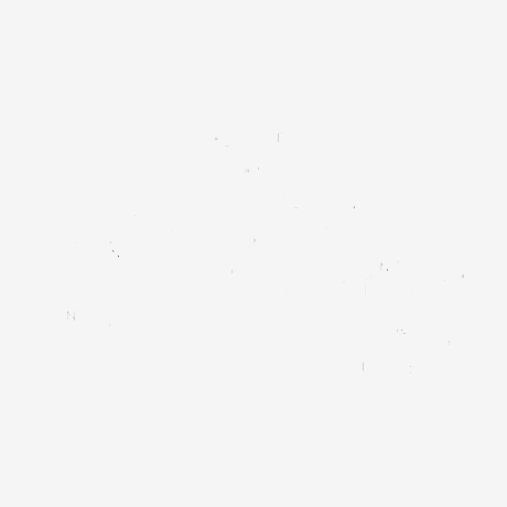 CN1CCN(Cc2ccc(C(F)(F)C3CCN(C(=O)C4(C(F)(F)F)CC4)C3)c(C(F)(F)F)c2)CC1